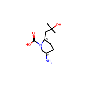 CC(C)(O)C[C@H]1CC[C@@H](N)CN1C(=O)O